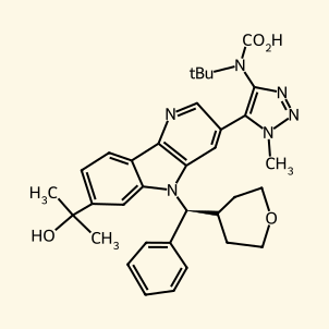 Cn1nnc(N(C(=O)O)C(C)(C)C)c1-c1cnc2c3ccc(C(C)(C)O)cc3n([C@H](c3ccccc3)C3CCOCC3)c2c1